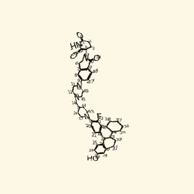 O=C1CC[C@H](N2Cc3cc(N4CCN(CC5CCN(c6ccc([C@@H]7c8ccc(O)cc8CC[C@@H]7C7CCCCC7)cc6F)CC5)CC4)ccc3C2=O)C(=O)N1